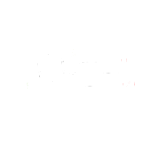 O=C(O)C1CCc2c(sc3ccc(F)cc23)C1